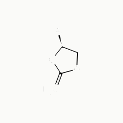 C=C1OC[C@H](C(C)=O)O1